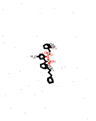 Cc1ccc(OS(=O)(=O)CC23CCC(CC2=O)C3(C)C)c(C(C23CCC(C(CCCc4ccccc4)C2=O)C3(C)C)S(=O)(=O)O)c1